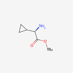 CC(C)(C)OC(=O)[C@H](N)C1CC1